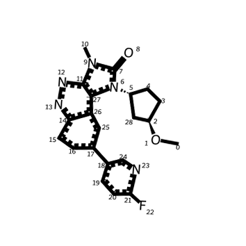 CO[C@@H]1CC[C@@H](n2c(=O)n(C)c3nnc4ccc(-c5ccc(F)nc5)cc4c32)C1